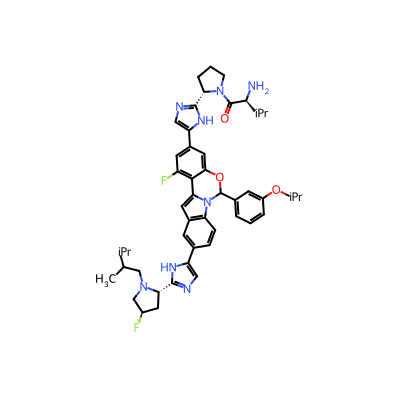 CC(C)Oc1cccc(C2Oc3cc(-c4cnc([C@@H]5CCCN5C(=O)[C@@H](N)C(C)C)[nH]4)cc(F)c3-c3cc4cc(-c5cnc([C@@H]6C[C@@H](F)CN6CC(C)C(C)C)[nH]5)ccc4n32)c1